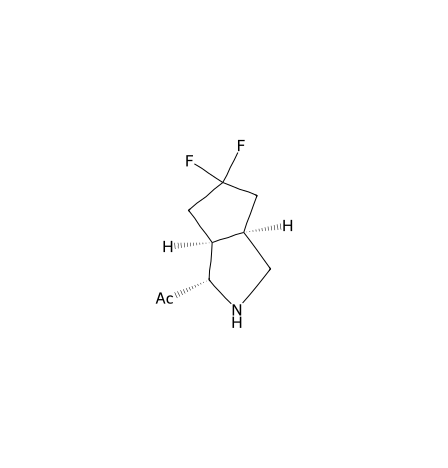 CC(=O)[C@H]1NC[C@@H]2CC(F)(F)C[C@@H]21